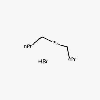 Br.CCC[CH2][Pt][CH2]CCC